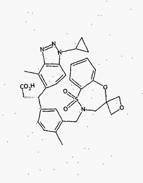 Cc1ccc([C@H](CC(=O)O)c2ccc3c(nnn3C3CC3)c2C)cc1CN1CC2(COC2)Oc2ccccc2S1(=O)=O